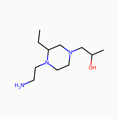 CCC1CN(CC(C)O)CCN1CCN